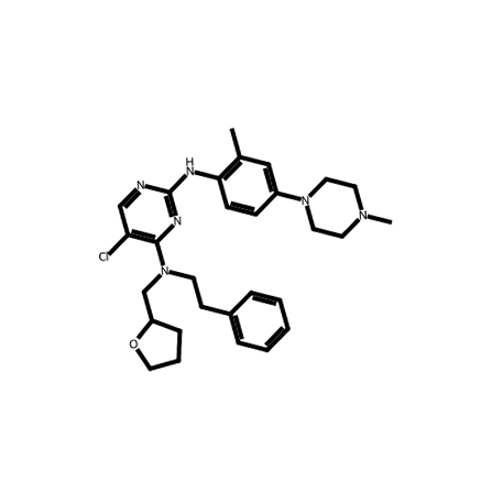 Cc1cc(N2CCN(C)CC2)ccc1Nc1ncc(Cl)c(N(CCc2ccccc2)CC2CCCO2)n1